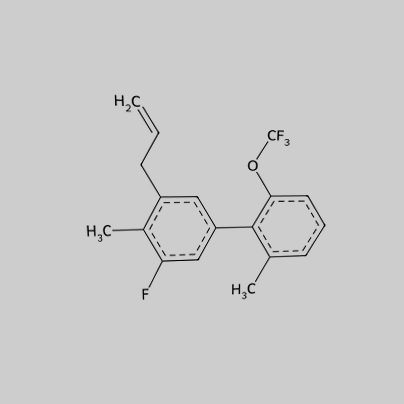 C=CCc1cc(-c2c(C)cccc2OC(F)(F)F)cc(F)c1C